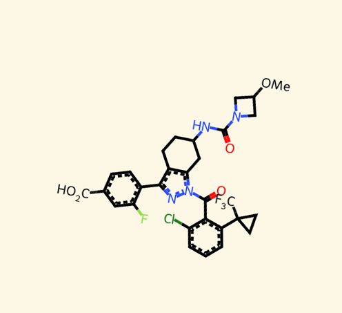 COC1CN(C(=O)NC2CCc3c(-c4ccc(C(=O)O)cc4F)nn(C(=O)c4c(Cl)cccc4C4(C(F)(F)F)CC4)c3C2)C1